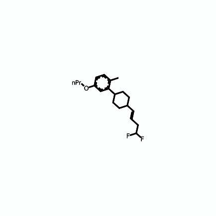 CCCOc1ccc(C)c(C2CCC(/C=C/CC(F)F)CC2)c1